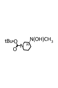 CN(O)[C@@H]1CCCN(C(=O)OC(C)(C)C)C1